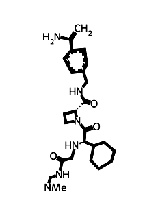 C=C(N)c1ccc(CNC(=O)[C@H]2CCN2C(=O)[C@@H](NCC(=O)NCNC)C2CCCCC2)cc1